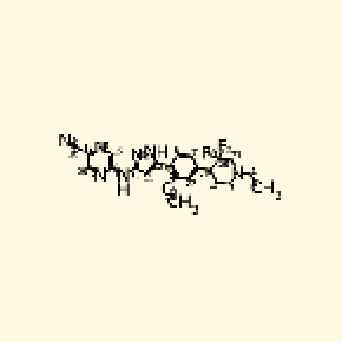 CCN1CCC(c2ccc(-c3cc(Nc4cnc(C#N)cn4)n[nH]3)c(OC)c2)C(F)(F)C1